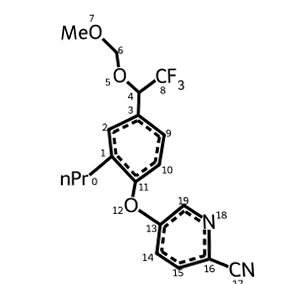 CCCc1cc(C(OCOC)C(F)(F)F)ccc1Oc1ccc(C#N)nc1